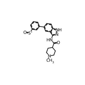 CN1CCC(C(=O)Nc2n[nH]c3ccc(-c4cccc([S+]=O)c4)cc23)CC1